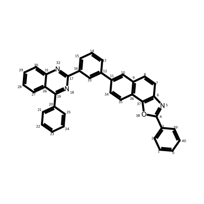 c1ccc(-c2nc3ccc4cc(-c5cccc(-c6nc(-c7ccccc7)c7ccccc7n6)c5)ccc4c3o2)cc1